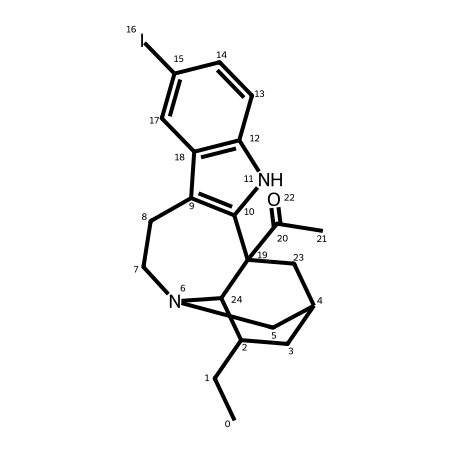 CCC1CC2CN3CCc4c([nH]c5ccc(I)cc45)C(C(C)=O)(C2)C13